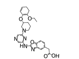 CCOC1=C(OC2CCCN(c3cncc(Nc4nc5cc(CC(=O)O)ccc5o4)n3)C2)C=CCC1